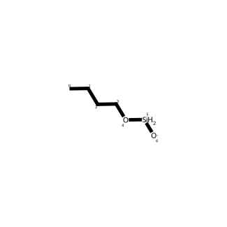 CCCCO[SiH2][O]